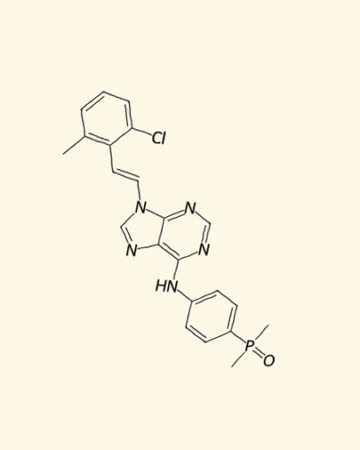 Cc1cccc(Cl)c1C=Cn1cnc2c(Nc3ccc(P(C)(C)=O)cc3)ncnc21